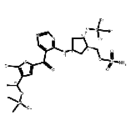 CC(C)[Si](O[C@H]1C[C@H](Nc2ncncc2C(=O)c2cc([C@H](C)O[Si](C)(C)C(C)(C)C)c(Cl)s2)C[C@@H]1COS(N)(=O)=O)(C(C)C)C(C)C